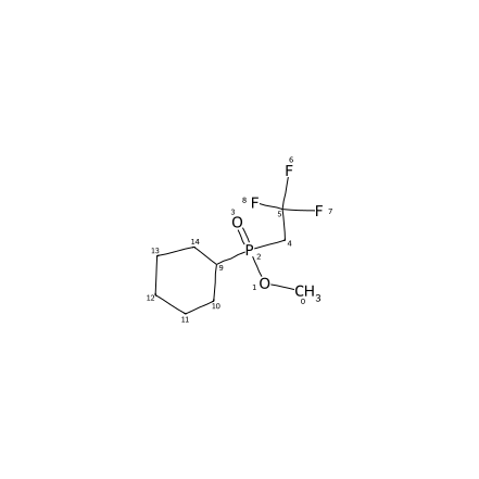 COP(=O)(CC(F)(F)F)C1CCCCC1